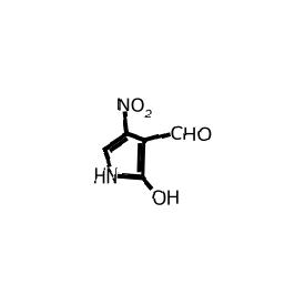 O=Cc1c([N+](=O)[O-])c[nH]c1O